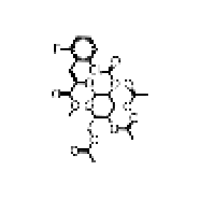 COC(=O)/C(=C/c1c(F)cccc1Cl)O[C@H]1O[C@@H](COC(C)=O)[C@H](OC(C)=O)[C@@H](OC(C)=O)[C@@H]1OC(C)=O